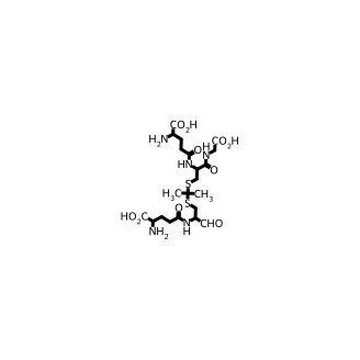 CC(C)(SCC(C=O)NC(=O)CCC(N)C(=O)O)SCC(NC(=O)CCC(N)C(=O)O)C(=O)NCC(=O)O